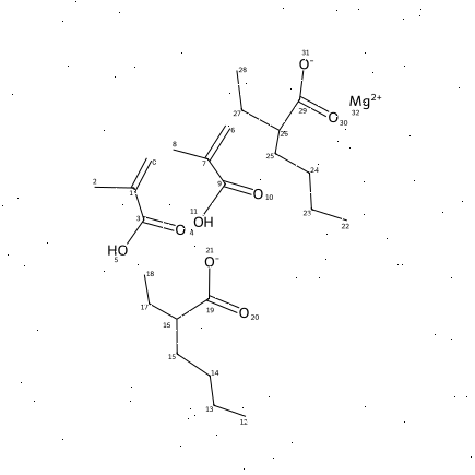 C=C(C)C(=O)O.C=C(C)C(=O)O.CCCCC(CC)C(=O)[O-].CCCCC(CC)C(=O)[O-].[Mg+2]